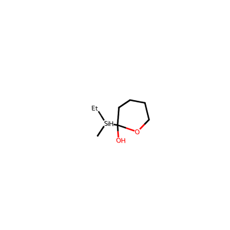 CC[SiH](C)C1(O)CCCCO1